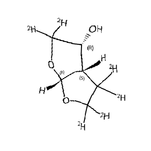 [2H]C1([2H])O[C@H]2OC([2H])([2H])C([2H])([2H])[C@H]2[C@H]1O